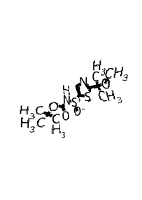 COC(C)(C)c1ncc([S+]([O-])NC(=O)OC(C)(C)C)s1